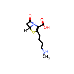 CNCCCCC1=C(C(=O)O)N2C(=O)C[C@H]2S1